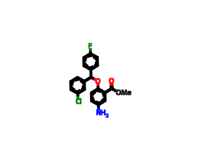 COC(=O)c1cc(N)ccc1OC(c1ccc(F)cc1)c1cccc(Cl)c1